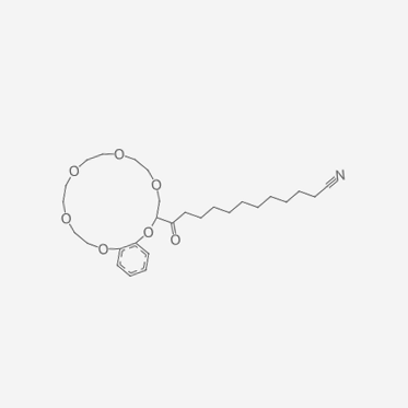 N#CCCCCCCCCCCC(=O)C1COCCOCCOCCOCCOc2ccccc2O1